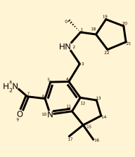 C[C@@H](NCc1cc(C(N)=O)nc2c1CCC2(C)C)C1CCCC1